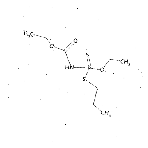 CCCSP(=S)(NC(=O)OCC)OCC